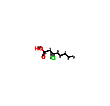 CCCCC[C@H](Cl)CC(=O)O